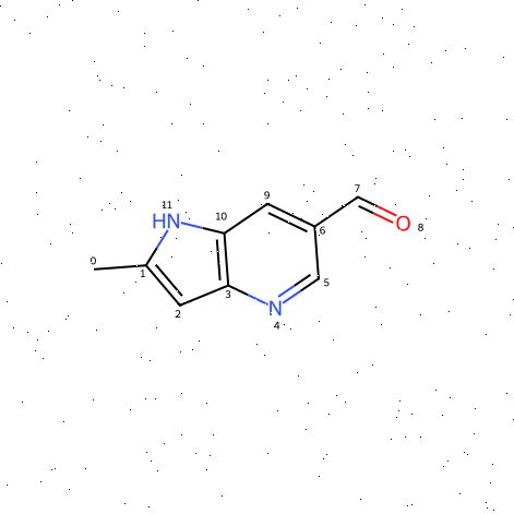 Cc1cc2ncc(C=O)cc2[nH]1